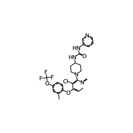 C=N/C(=C(Cl)\C(=C/C)Oc1ccc(OC(F)(F)F)cc1C)N1CCC(NC(=O)Nc2cccnc2)CC1